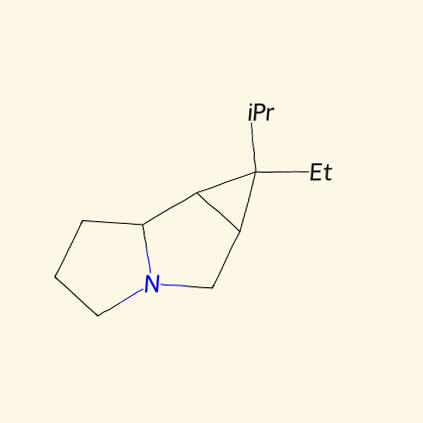 CCC1(C(C)C)C2CN3CCCC3C21